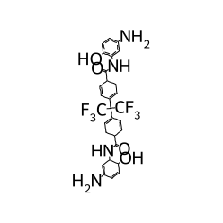 NC1=CC(NC(=O)C2C=CC(C(C3=CCC(C(=O)Nc4cc(N)ccc4O)C=C3)(C(F)(F)F)C(F)(F)F)=CC2)C(O)C=C1